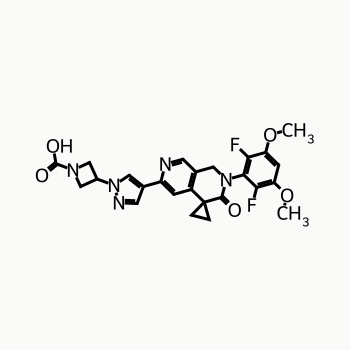 COc1cc(OC)c(F)c(N2Cc3cnc(-c4cnn(C5CN(C(=O)O)C5)c4)cc3C3(CC3)C2=O)c1F